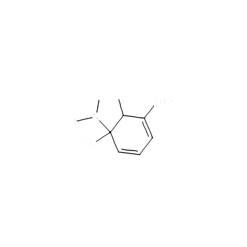 O=CC1=CC=CC(C=O)(N(I)I)C1I